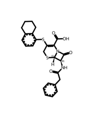 O=C(Cc1ccccc1)N[C@@H]1C(=O)N2C(C(=O)O)=C(Sc3cccc4c3CCCC4)CS[C@@H]12